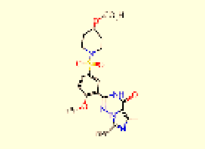 CCCOc1ccc(S(=O)(=O)N2CCC(OC(=O)O)CC2)cc1-c1nn2c(CCC)nc(C)c2c(=O)[nH]1